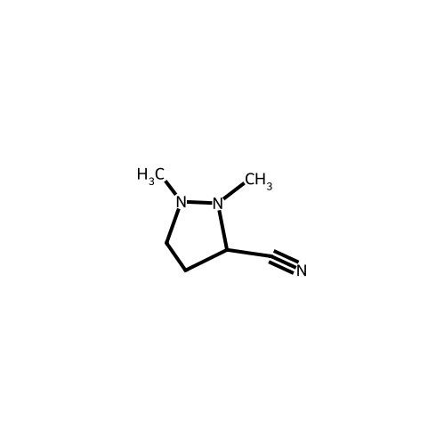 CN1CCC(C#N)N1C